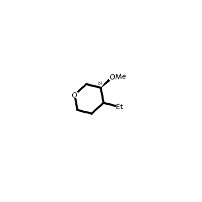 CCC1CCOC[C@H]1OC